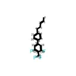 C/C=C/CCc1ccc(-c2cc(F)c(C(F)F)c(F)c2)cc1